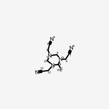 N#CCN1CN(CC#N)C(F)N(CC#N)C1